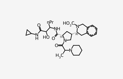 CCCC(NC(=O)[C@@H]1CC([C@H]2Cc3ccccc3CN2C(=O)O)CN1C(=O)C(C)N1CCCCC1)C(O)C(=O)NC1CC1